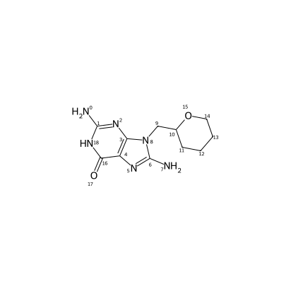 Nc1nc2c(nc(N)n2CC2CCCCO2)c(=O)[nH]1